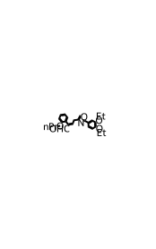 CCCOc1ccccc1/C(C=O)=C\Cc1coc(-c2ccc(OCC)c(OCC)c2)n1